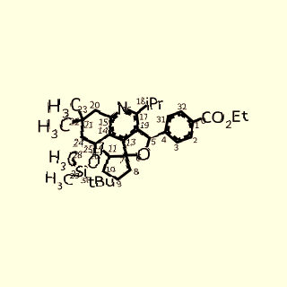 CCOC(=O)c1ccc([C@H]2OC3(CCCC3I)c3c4c(nc(C(C)C)c32)CC(C)(C)CC4O[Si](C)(C)C(C)(C)C)cc1